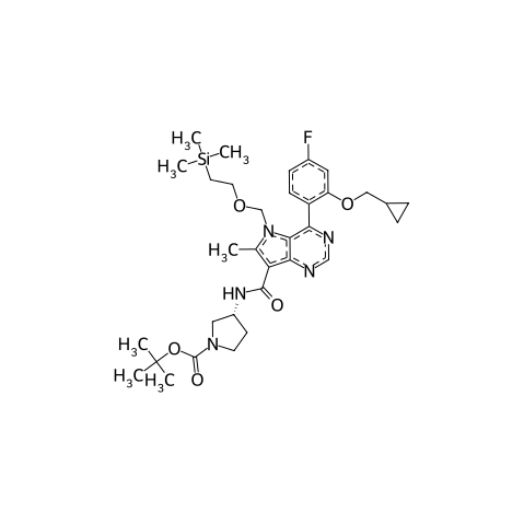 Cc1c(C(=O)N[C@@H]2CCN(C(=O)OC(C)(C)C)C2)c2ncnc(-c3ccc(F)cc3OCC3CC3)c2n1COCC[Si](C)(C)C